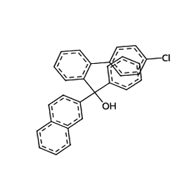 OC(c1ccccc1)(c1ccc2ccccc2c1)c1ccccc1-c1ccc(Cl)cc1